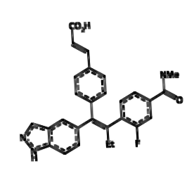 CC/C(=C(/c1ccc(/C=C/C(=O)O)cc1)c1ccc2[nH]ncc2c1)c1ccc(C(=O)NC)cc1F